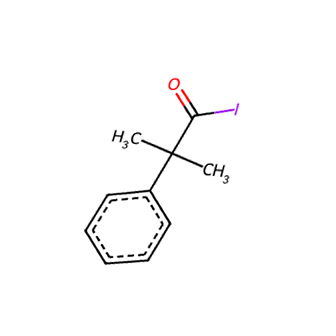 CC(C)(C(=O)I)c1ccccc1